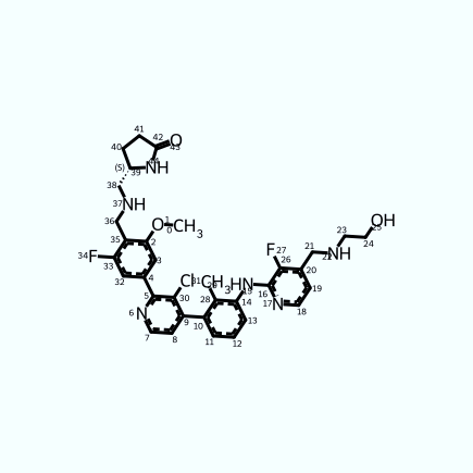 COc1cc(-c2nccc(-c3cccc(Nc4nccc(CNCCO)c4F)c3C)c2Cl)cc(F)c1CNC[C@@H]1CCC(=O)N1